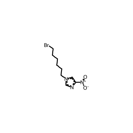 O=[N+]([O-])c1cn(CCCCCCBr)cn1